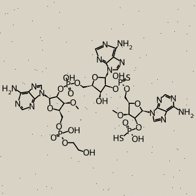 CO[C@@H]1C(OP(=O)(O)S)[C@H](n2cnc3c(N)ncnc32)O[C@@H]1COP(O)(=S)OC1[C@@H](O)[C@@H](COP(=O)(O)OC2[C@@H](OC)[C@@H](COP(=O)(O)OCCO)O[C@H]2n2cnc3c(N)ncnc32)O[C@H]1n1cnc2c(N)ncnc21